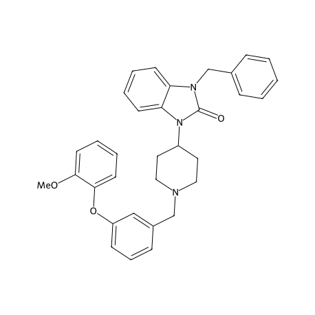 COc1ccccc1Oc1cccc(CN2CCC(n3c(=O)n(Cc4ccccc4)c4ccccc43)CC2)c1